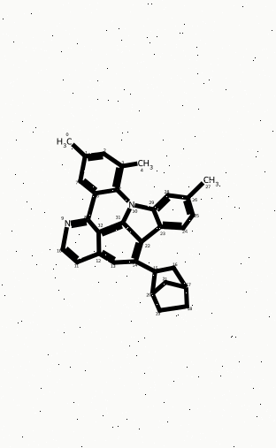 Cc1cc(C)c2c(c1)c1nccc3cc(C4CC5CCC4C5)c4c5ccc(C)cc5n2c4c31